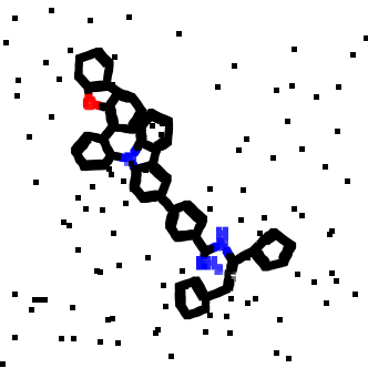 NC(NC(=C=CC1=CC=CCC1)c1ccccc1)c1ccc(-c2ccc3c(c2)c2ccccc2n3C2C=CC=CC2c2cccc3c4c(oc23)CCC=C4)cc1